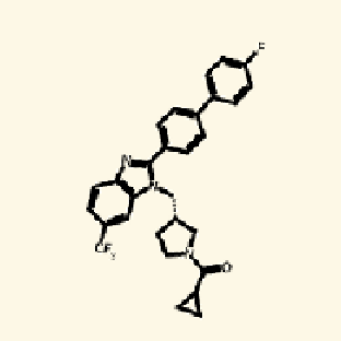 O=C(C1CC1)N1CC[C@H](Cn2c(-c3ccc(-c4ccc(F)cc4)cc3)nc3ccc(C(F)(F)F)cc32)C1